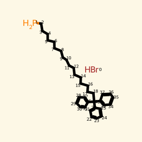 Br.PCCCCCCCCCCCCCCCCCC(c1ccccc1)(c1ccccc1)c1ccccc1